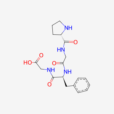 O=C(O)CNC(=O)[C@H](Cc1ccccc1)NC(=O)CNC(=O)[C@@H]1CCCN1